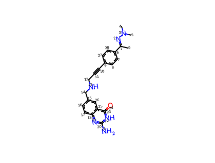 CC(=NN(C)C)c1ccc(C#CCNCc2ccc3nc(N)[nH]c(=O)c3c2)cc1